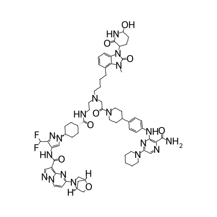 Cn1c(=O)n(C2CCC(O)NC2=O)c2cccc(CCCCN(CCNC(=O)[C@H]3CC[C@H](n4cc(NC(=O)c5cnn6ccc(N7C[C@H]8C[C@@H]7CO8)nc56)c(C(F)F)n4)CC3)CC(=O)N3CCC(c4ccc(Nc5nc(N6CCCCC6)cnc5C(N)=O)cc4)CC3)c21